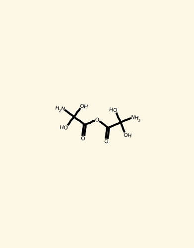 NC(O)(O)C(=O)OC(=O)C(N)(O)O